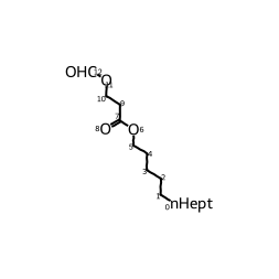 CCCCCCCCCCCCOC(=O)CCOC=O